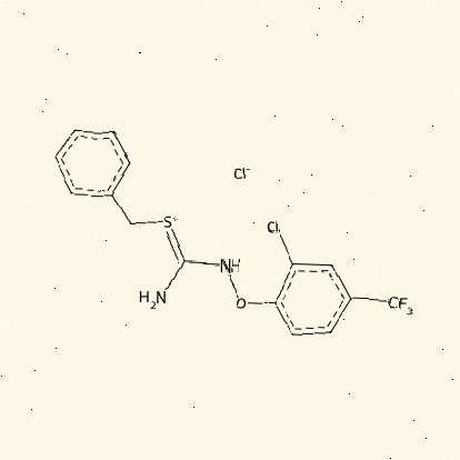 N/C(NOc1ccc(C(F)(F)F)cc1Cl)=[S+]\Cc1ccccc1.[Cl-]